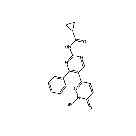 CC(C)n1nc(-c2cnc(NC(=O)C3CC3)nc2-c2ccccc2)ccc1=O